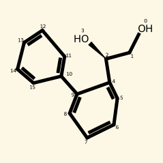 OC[C@H](O)c1ccccc1-c1ccccc1